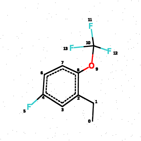 CCc1cc(F)ccc1OC(F)(F)F